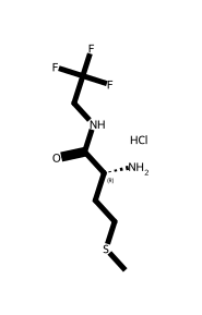 CSCC[C@@H](N)C(=O)NCC(F)(F)F.Cl